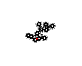 c1ccc(-c2nc(-c3ccc(-n4c5ccccc5c5cc6ccccc6cc54)c(-c4cccc5c4sc4ccccc45)c3)nc(-c3cccc4c3c3ccccc3n4-c3ccccc3)n2)cc1